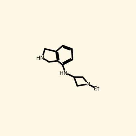 CCN1CC(Nc2cccc3c2CNC3)C1